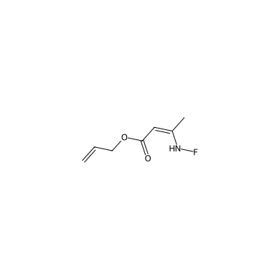 C=CCOC(=O)/C=C(/C)NF